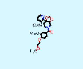 COc1cc(C(=O)N2CC[C@]3(c4ncccc4OC)OCOC3C2)ccc1OCCOC(F)(F)F